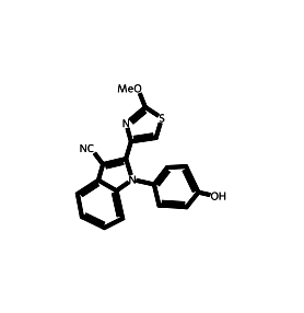 COc1nc(-c2c(C#N)c3ccccc3n2-c2ccc(O)cc2)cs1